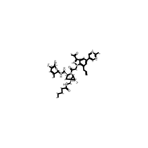 C=CCc1cc(-c2cnc(C)nc2)cc2c(C(C)=O)nn(CC(=O)N3C4[C@H](C)[C@]4(CNC(=O)CCCC)C[C@H]3C(=O)Nc3nc(Br)c(F)cc3C)c12